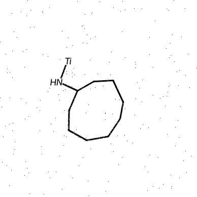 [Ti][NH]C1CCCCCCCC1